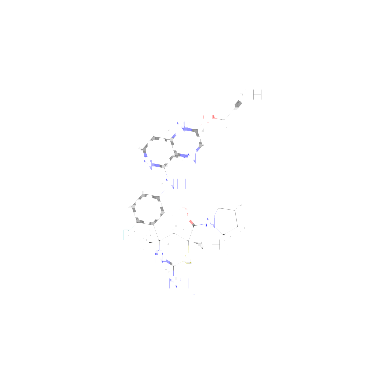 C#CCOc1cnc2c(Nc3ccc(F)c([C@]4(C)C[C@](C)(C(=O)N5CCCC5)SC(N)=N4)c3)nccc2n1